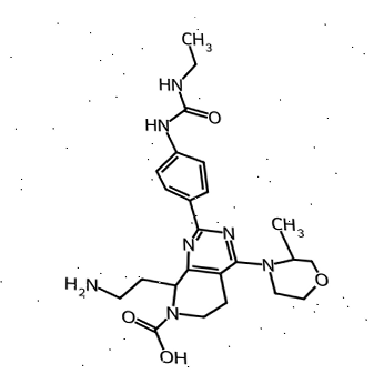 CCNC(=O)Nc1ccc(-c2nc3c(c(N4CCOCC4C)n2)CCN(C(=O)O)C3CCN)cc1